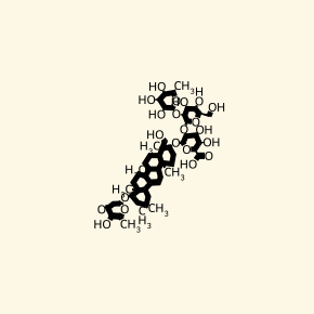 CC1=C(O)C(=O)CC(O[C@@H]2CC(C)(C)CC3C4=CCC5[C@@](C)(CCC6[C@]5(C)CC[C@H](O[C@@H]5O[C@H](C(=O)O)[C@@H](O)[C@H](O)[C@H]5O[C@@H]5O[C@H](CO)[C@H](O)[C@H](O)[C@H]5O[C@@H]5O[C@@H](C)[C@H](O)[C@@H](O)[C@H]5O)[C@]6(C)CO)C4CC[C@]32C)O1